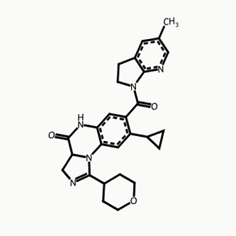 Cc1cnc2c(c1)CCN2C(=O)c1cc2c(cc1C1CC1)N1C(C3CCOCC3)=NCC1C(=O)N2